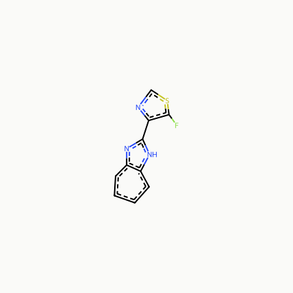 Fc1scnc1-c1nc2ccccc2[nH]1